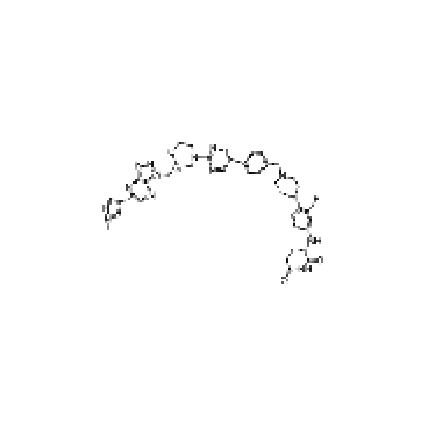 Cn1cc(-c2cnc3c(nnn3C[C@@H]3CN(c4ncc(-c5ccc(CN6CCN(c7ccc(NC8CCC(=O)NC8=O)cc7F)CC6)cc5)cn4)CCO3)n2)cn1